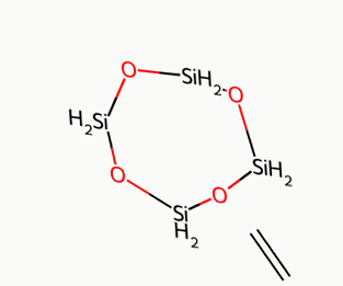 C=C.O1[SiH2]O[SiH2]O[SiH2]O[SiH2]1